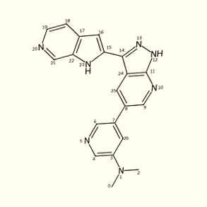 CN(C)c1cncc(-c2cnc3[nH]nc(-c4cc5ccncc5[nH]4)c3c2)c1